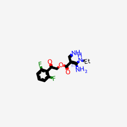 CCN/C(N)=C(\C=N)C(=O)OCC(=O)c1c(F)cccc1F